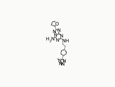 Cn1nnnc1-c1ccc(CCNc2nc(N)n3nc(-c4ccco4)nc3n2)cc1